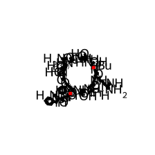 CC[C@H](C)[C@@H]1NC(=O)[C@@H](CCCNC(=N)N)NC(=O)[C@H](CC(C)C)NC(=O)[C@H]([C@H](O)C(C)C)NC(=O)[C@@H](NC(=O)[C@H](CC(C)C)NC(=O)[C@H](CN)Cc2ccccc2)[C@@H](c2ccccc2)OC(=O)[C@H](CO)NC(=O)[C@H]([C@H](O)C(N)=O)NC(=O)CNC(=O)[C@H]([C@H](C)O)NC1O